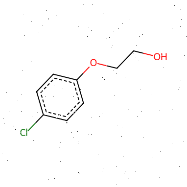 OCCOc1c[c]c(Cl)cc1